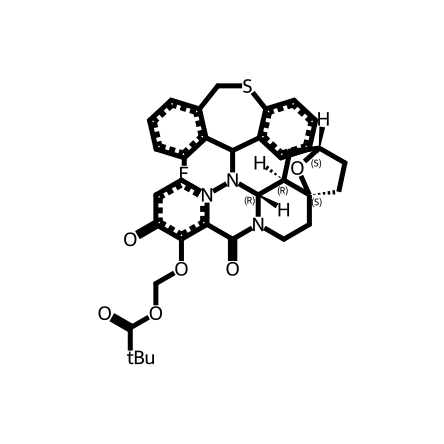 CC(C)(C)C(=O)OCOc1c2n(ccc1=O)N(C1c3ccccc3SCc3cccc(F)c31)[C@@H]1[C@H]3C[C@@H]4CC[C@@]3(CCN1C2=O)O4